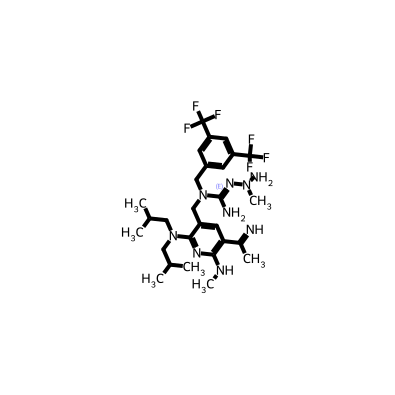 CNc1nc(N(CC(C)C)CC(C)C)c(CN(Cc2cc(C(F)(F)F)cc(C(F)(F)F)c2)/C(N)=N/N(C)N)cc1C(C)=N